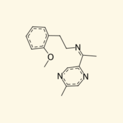 COc1ccccc1CCN=C(C)c1cnc(C)cn1